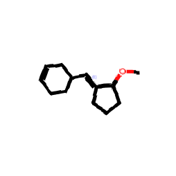 COC1CCC/C1=C\C1CC=CCC1